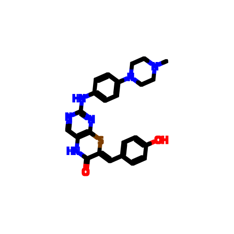 CN1CCN(c2ccc(Nc3ncc4c(n3)S/C(=C\c3ccc(O)cc3)C(=O)N4)cc2)CC1